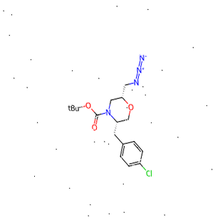 CC(C)(C)OC(=O)N1C[C@H](CN=[N+]=[N-])OC[C@@H]1Cc1ccc(Cl)cc1